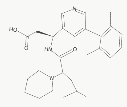 Cc1cccc(C)c1-c1cncc([C@H](CC(=O)O)NC(=O)C(CC(C)C)N2CCCCC2)c1